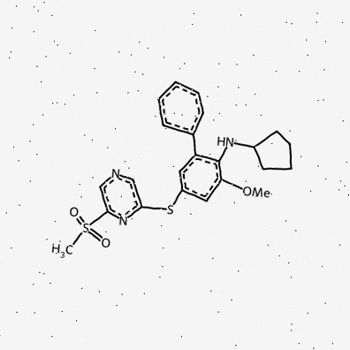 COc1cc(Sc2cncc(S(C)(=O)=O)n2)cc(-c2ccccc2)c1NC1CCCC1